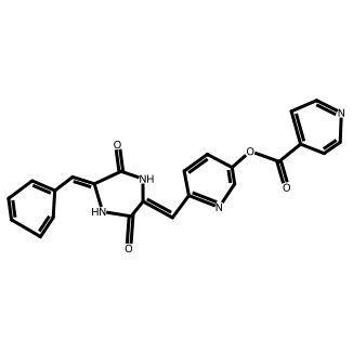 O=C(Oc1ccc(C=c2[nH]c(=O)/c(=C/c3ccccc3)[nH]c2=O)nc1)c1ccncc1